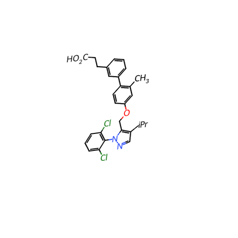 Cc1cc(OCc2c(C(C)C)cnn2-c2c(Cl)cccc2Cl)ccc1-c1cccc(CCC(=O)O)c1